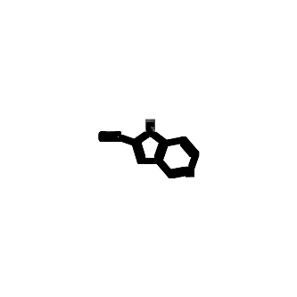 O=Cc1cc2cnccc2[nH]1